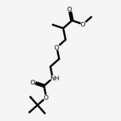 COC(=O)C(C)COCCNC(=O)OC(C)(C)C